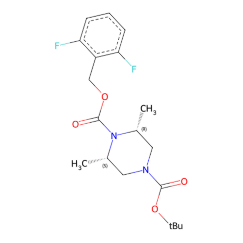 C[C@@H]1CN(C(=O)OC(C)(C)C)C[C@H](C)N1C(=O)OCc1c(F)cccc1F